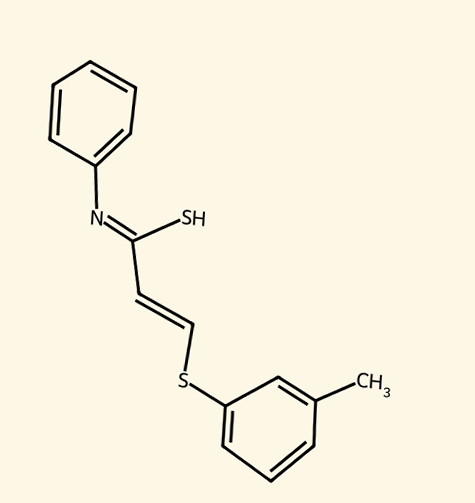 Cc1cccc(SC=CC(S)=Nc2ccccc2)c1